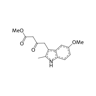 COC(=O)CC(=O)Cc1c(C)[nH]c2ccc(OC)cc12